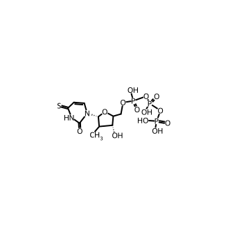 CC1[C@@H](O)C(COP(=O)(O)OP(=O)(O)OP(=O)(O)O)O[C@H]1n1ccc(=S)[nH]c1=O